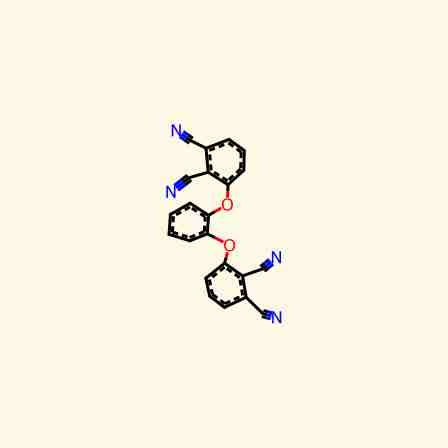 N#Cc1cccc(Oc2ccccc2Oc2cccc(C#N)c2C#N)c1C#N